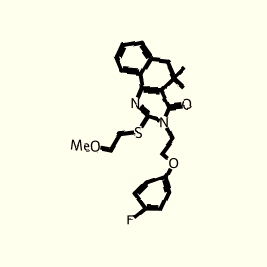 COCCSc1nc2c(c(=O)n1CCOc1ccc(F)cc1)C(C)(C)Cc1ccccc1-2